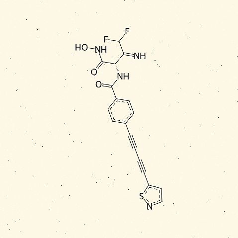 N=C(C(F)F)[C@H](NC(=O)c1ccc(C#CC#Cc2ccns2)cc1)C(=O)NO